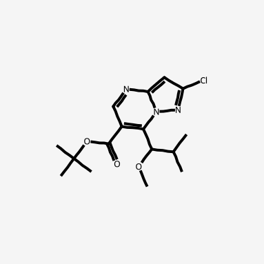 COC(c1c(C(=O)OC(C)(C)C)cnc2cc(Cl)nn12)C(C)C